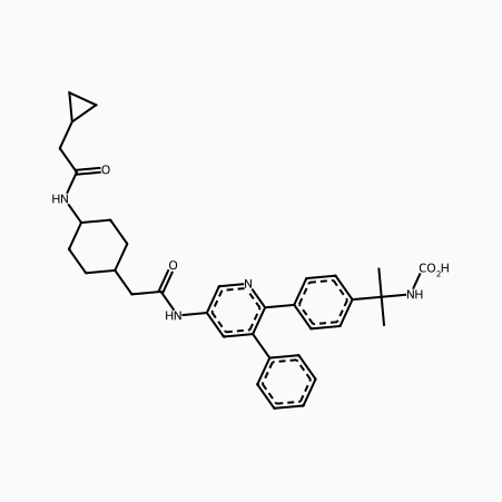 CC(C)(NC(=O)O)c1ccc(-c2ncc(NC(=O)CC3CCC(NC(=O)CC4CC4)CC3)cc2-c2ccccc2)cc1